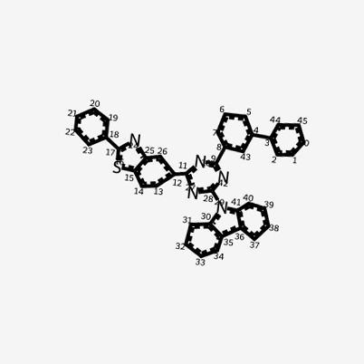 c1ccc(-c2cccc(-c3nc(-c4ccc5sc(-c6ccccc6)nc5c4)nc(-n4c5ccccc5c5ccccc54)n3)c2)cc1